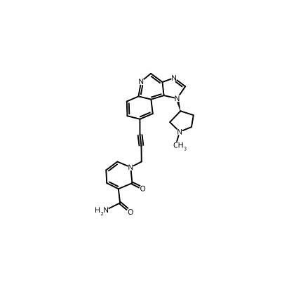 CN1CC[C@H](n2cnc3cnc4ccc(C#CCn5cccc(C(N)=O)c5=O)cc4c32)C1